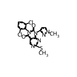 CSc1ncc2c(=O)n(-c3c(Cl)cccc3Cl)c(=O)n(-c3ccn(C)n3)c2n1